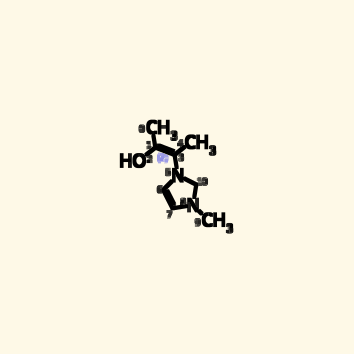 C/C(O)=C(\C)N1C=CN(C)C1